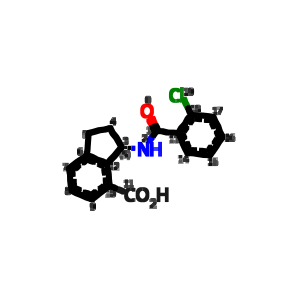 O=C(N[C@H]1CCc2cccc(C(=O)O)c21)c1ccccc1Cl